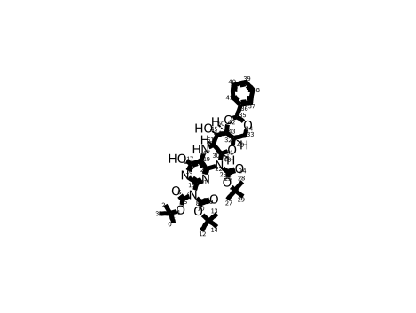 CC(C)(C)OC(=O)N(C(=O)OC(C)(C)C)c1nc(O)c2c(n1)N(C(=O)OC(C)(C)C)[C@@H]1O[C@@H]3COC(c4ccccc4)O[C@@H]3[C@@H](O)[C@@H]1N2